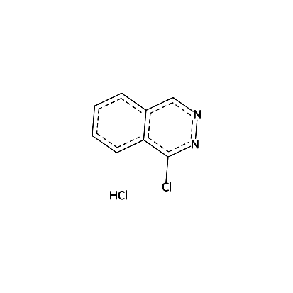 Cl.Clc1nncc2ccccc12